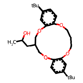 CC(O)CC1COc2ccc(C(C)(C)C)cc2OCCCOc2ccc(C(C)(C)C)cc2OC1